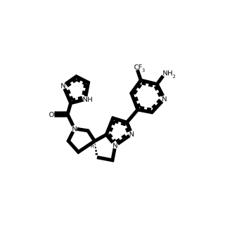 Nc1ncc(-c2cc3n(n2)CC[C@@]32CCN(C(=O)c3ncc[nH]3)C2)cc1C(F)(F)F